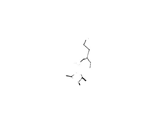 C=CC(=O)O.CC(=O)O.OCCC(CO)CO